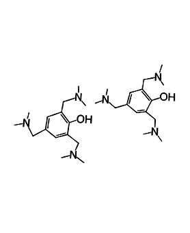 CN(C)Cc1cc(CN(C)C)c(O)c(CN(C)C)c1.CN(C)Cc1cc(CN(C)C)c(O)c(CN(C)C)c1